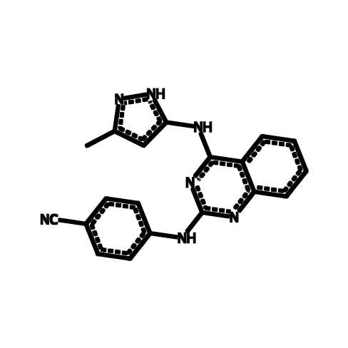 Cc1cc(Nc2nc(Nc3ccc(C#N)cc3)nc3ccccc23)[nH]n1